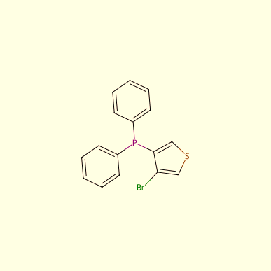 Brc1cscc1P(c1ccccc1)c1ccccc1